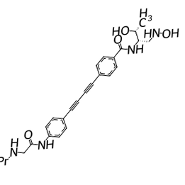 CCCNCC(=O)Nc1ccc(C#CC#Cc2ccc(C(=O)N[C@@H](CNO)[C@@H](C)O)cc2)cc1